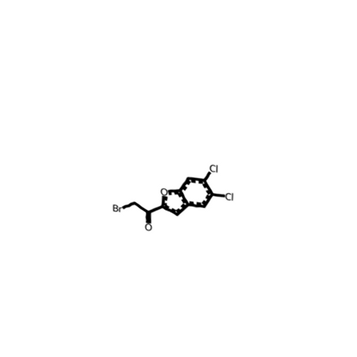 O=C(CBr)c1cc2cc(Cl)c(Cl)cc2o1